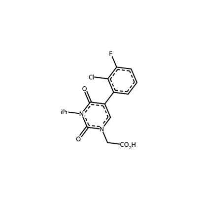 CC(C)n1c(=O)c(-c2cccc(F)c2Cl)cn(CC(=O)O)c1=O